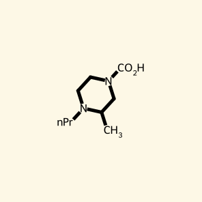 CCCN1CCN(C(=O)O)CC1C